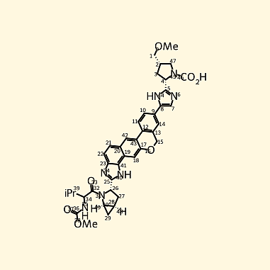 COC[C@H]1C[C@@H](c2ncc(-c3ccc4c(c3)COc3cc5c(ccc6nc([C@@H]7C[C@H]8C[C@H]8N7C(=O)C(NC(=O)OC)C(C)C)[nH]c65)cc3-4)[nH]2)N(C(=O)O)C1